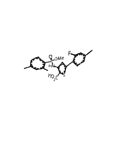 COP(=O)(Nc1cc(-c2ccc(C)cc2F)sc1C(=O)O)c1ccc(C)cc1C